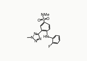 CNS(=O)(=O)c1ccc(Nc2ccccc2F)c(-c2nnn(C)n2)c1